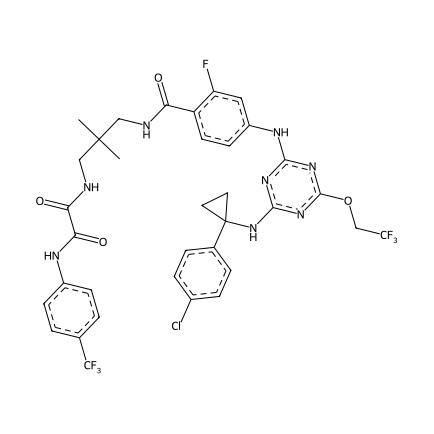 CC(C)(CNC(=O)C(=O)Nc1ccc(C(F)(F)F)cc1)CNC(=O)c1ccc(Nc2nc(NC3(c4ccc(Cl)cc4)CC3)nc(OCC(F)(F)F)n2)cc1F